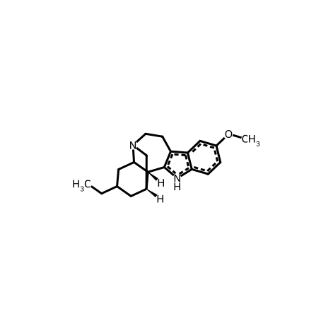 CCC1CC2[C@@H]3c4[nH]c5ccc(OC)cc5c4CCN2C[C@H]3C1